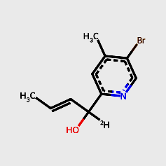 [2H]C(O)(C=CC)c1cc(C)c(Br)cn1